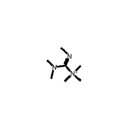 C/N=C(\N(C)C)[N+](C)(C)C